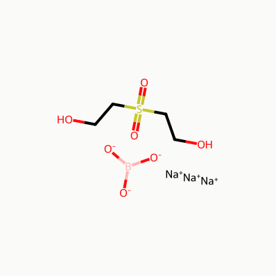 O=S(=O)(CCO)CCO.[Na+].[Na+].[Na+].[O-]B([O-])[O-]